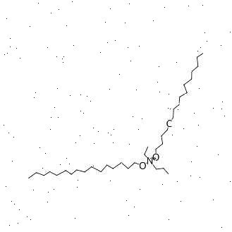 CCCCCCCCCCCCCCCCO[N+](CC)(CCC)OCCCCCCCCCCCCCCCC